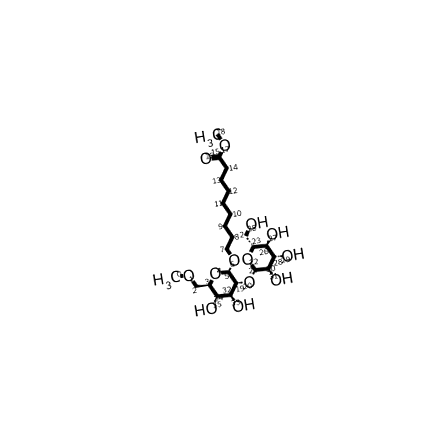 COC[C@H]1O[C@H](OCCCCCCCCC(=O)OC)[C@H](O[C@@H]2O[C@H](CO)[C@@H](O)[C@H](O)[C@H]2O)[C@@H](O)[C@@H]1O